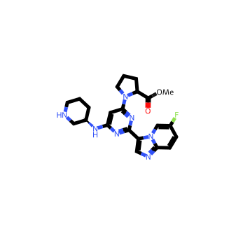 COC(=O)C1CCCN1c1cc(N[C@@H]2CCCNC2)nc(-c2cnc3ccc(F)cn23)n1